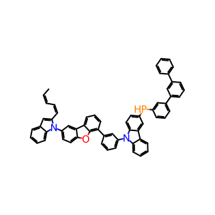 C/C=C\C=C/c1cc2ccccc2n1-c1ccc2oc3c(-c4cccc(-n5c6ccccc6c6cc(Pc7cccc(-c8cccc(-c9ccccc9)c8)c7)ccc65)c4)cccc3c2c1